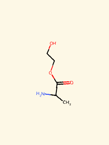 CC(N)C(=O)OCCO